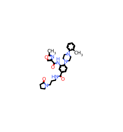 Cc1nc(C(=O)Nc2cc(C(=O)NCCCN3CCCC3=O)ccc2N2CCN(c3ccccc3C)CC2)co1